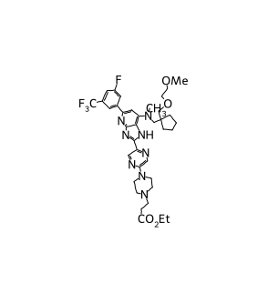 CCOC(=O)CCN1CCN(c2cnc(-c3nc4nc(-c5cc(F)cc(C(F)(F)F)c5)cc(N(C)CC5(COCCOC)CCCC5)c4[nH]3)cn2)CC1